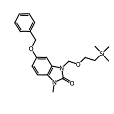 Cn1c(=O)n(COCC[Si](C)(C)C)c2cc(OCc3ccccc3)ccc21